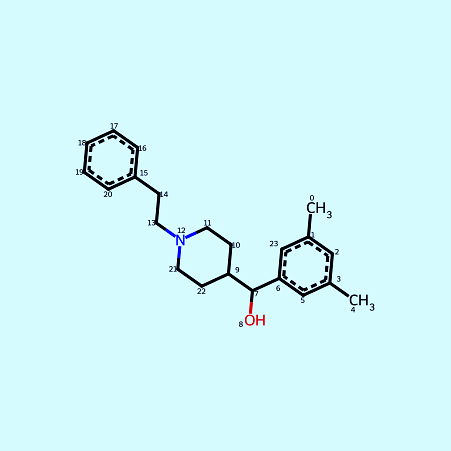 Cc1cc(C)cc(C(O)C2CCN(CCc3ccccc3)CC2)c1